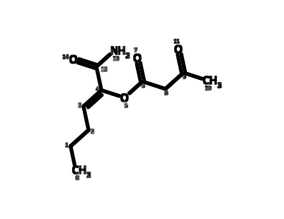 CCCC=C(OC(=O)CC(C)=O)C(N)=O